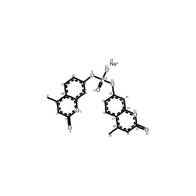 Cc1cc(=O)oc2cc(OP(=O)([O-])Oc3ccc4c(C)cc(=O)oc4c3)ccc12.[Na+]